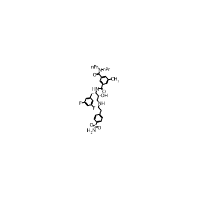 CCCN(CCC)C(=O)c1cc(C)cc(C(=O)N[C@@H](Cc2cc(F)cc(F)c2)[C@H](O)CNCCc2ccc(S(N)(=O)=O)cc2)c1